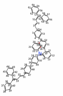 C(=Cc1ccc(-c2ccc(-c3ccccc3N(c3ccccc3)c3ccc(-c4ccc(C=CC=C(c5ccccc5)c5ccccc5)cc4)cc3)cc2)cc1)C=C(c1ccccc1)c1ccccc1